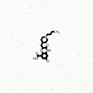 CCCCN1CCC(CC2Oc3c(cc(Cl)cc3C(=O)O)NC2=O)CC1